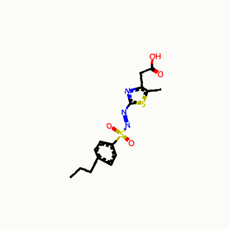 CCCc1ccc(S(=O)(=O)/N=N/c2nc(CC(=O)O)c(C)s2)cc1